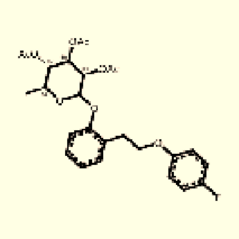 CC(=O)O[C@@H]1[C@@H](OC(C)=O)[C@@H](OC(C)=O)C(Oc2ccccc2CCOc2ccc(F)cc2)O[C@H]1C